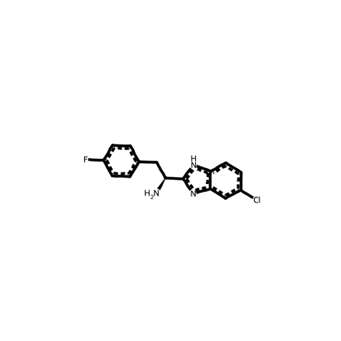 N[C@@H](Cc1ccc(F)cc1)c1nc2cc(Cl)ccc2[nH]1